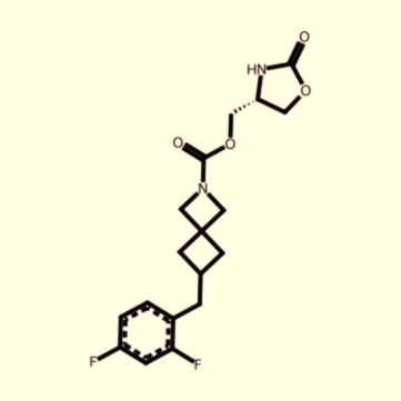 O=C1N[C@@H](COC(=O)N2CC3(CC(Cc4ccc(F)cc4F)C3)C2)CO1